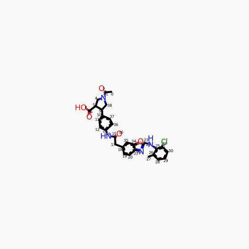 CC(=O)N1CC(C(=O)O)C(c2ccc(NC(=O)Cc3ccc4nc(Nc5c(C)cccc5Cl)oc4c3)cc2)C1